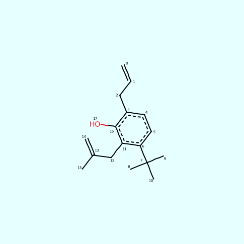 C=CCc1ccc(C(C)(C)C)c(CC(=C)C)c1O